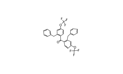 O=C(c1ccc(OC(F)(F)F)cc1Cc1ccccc1)c1ccc(OC(F)(F)F)cc1Cc1ccccc1